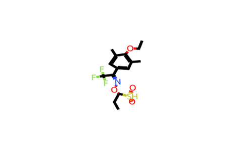 CCOc1c(C)cc(C(=NOC(CC)[SH](=O)=O)C(F)(F)F)cc1C